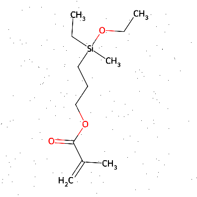 C=C(C)C(=O)OCCC[Si](C)(CC)OCC